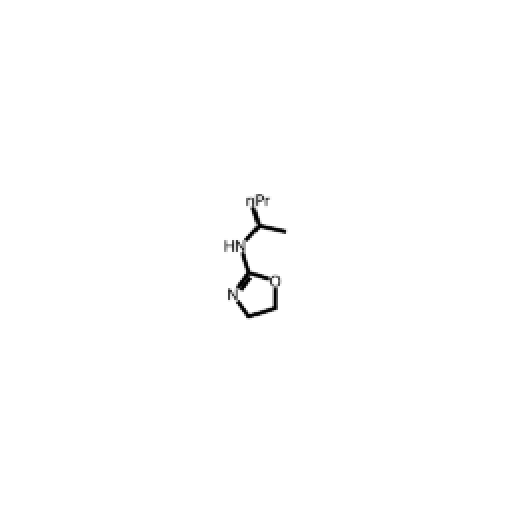 CCCC(C)NC1=NCCO1